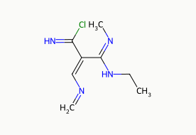 C=N/C=C(C(=N)Cl)\C(=N/C)NCC